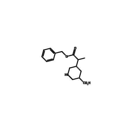 CC(C(=O)OCc1ccccc1)C1CNCC(C(=O)O)C1